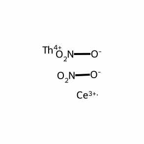 O=[N+]([O-])[O-].O=[N+]([O-])[O-].[Ce+3].[Th+4]